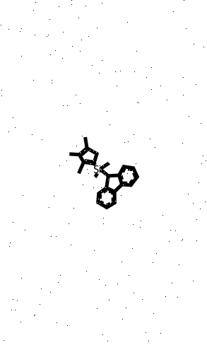 CC1=C(C)C(C)=C([Si](C)(C)C2c3ccccc3-c3ccccc32)C1